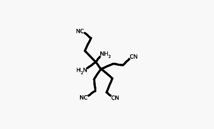 N#CCCC(N)(N)C(CCC#N)(CCC#N)CCC#N